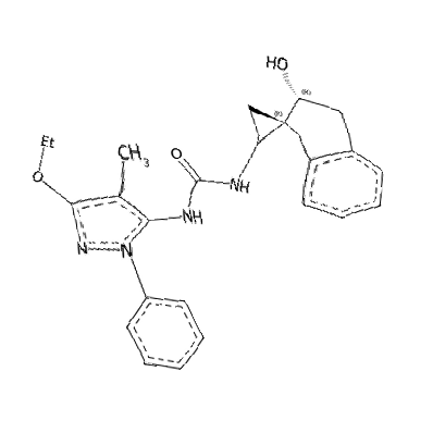 CCOc1nn(-c2ccccc2)c(NC(=O)NC2C[C@@]23c2ccccc2C[C@H]3O)c1C